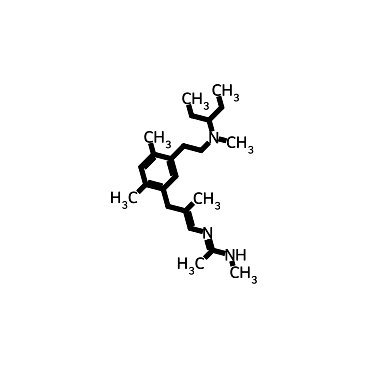 CCC(CC)N(C)CCc1cc(C/C(C)=C/N=C(\C)NC)c(C)cc1C